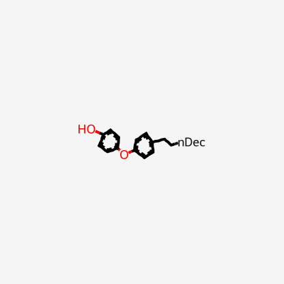 CCCCCCCCCCCCc1ccc(Oc2ccc(O)cc2)cc1